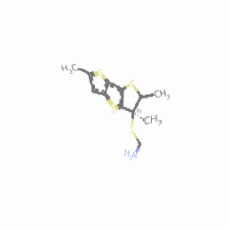 Cc1cc2sc3c(c2s1)SC(C)[C@@]3(C)SCN